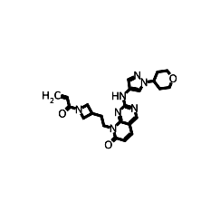 C=CC(=O)N1CC(CCn2c(=O)ccc3cnc(Nc4cnn(C5CCOCC5)c4)nc32)C1